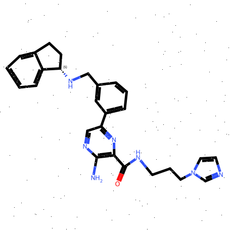 Nc1ncc(-c2cccc(CN[C@H]3CCc4ccccc43)c2)nc1C(=O)NCCCn1ccnc1